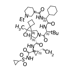 C=C[C@@H]1C[C@]1(NC(=O)[C@@H]1C[C@@]2(CN1C(=O)[C@@H](NC(=O)[C@@H](NC(=O)[C@@H]1CCCN(CC)C1)C1CCCCC1)C(C)(C)C)C(C)(C)C21CCC1)C(=O)NS(=O)(=O)C1CC1